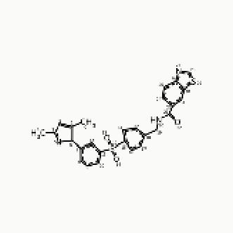 CC1=CC(C)=NC1c1cccc(S(=O)(=O)c2ccc(CNC(=O)c3ccc4ncsc4c3)cc2)c1